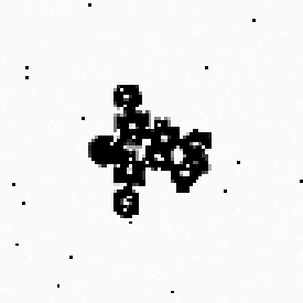 C1=C(c2cccc(-c3nc(-c4ccccc4)nc(-c4ccccc4)n3)c2)c2c(sc3scc(-c4ccc(-c5nc(-c6ccccc6)nc(-c6ccccc6)n5)nc4)c23)CS1